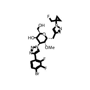 CO[C@@H]1[C@@H](n2cc(-c3ccc(Br)c(F)c3F)nn2)[C@@H](O)[C@@H](CO)O[C@@H]1Cc1cn(C2(CF)CC2)nn1